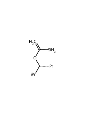 C=C([SiH3])OC(C(C)C)C(C)C